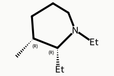 CC[C@@H]1[C@H](C)CCCN1CC